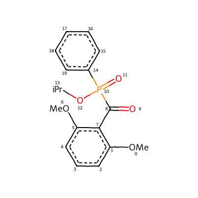 COc1cccc(OC)c1C(=O)P(=O)(OC(C)C)c1ccccc1